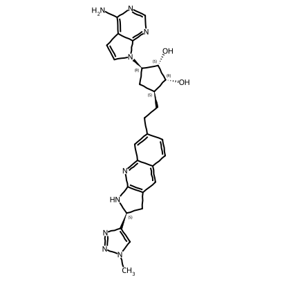 Cn1cc([C@@H]2Cc3cc4ccc(CC[C@H]5C[C@@H](n6ccc7c(N)ncnc76)[C@H](O)[C@@H]5O)cc4nc3N2)nn1